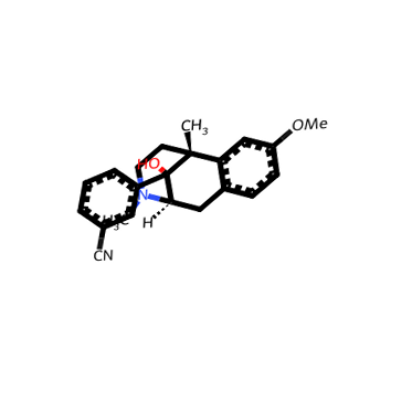 COc1ccc2c(c1)[C@@]1(C)CCN(C)[C@H](C2)C1(O)c1cccc(C#N)c1